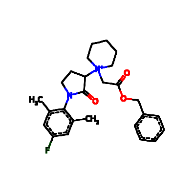 Cc1cc(F)cc(C)c1N1CCC([N+]2(CC(=O)OCc3ccccc3)CCCCC2)C1=O